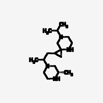 CC(C)N1CCNC2(CC2CC(C)N2CCN[C@@H](C)C2)C1